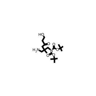 CC(CN)(CC(=O)CCO)CN(C(=O)OC(C)(C)C)C(=O)OC(C)(C)C